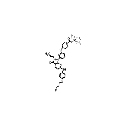 C=CCn1c(=O)c2cnc(Nc3ccc(OCCCF)cc3)nc2n1-c1cccc(OC2CCN(C(=O)OC(C)(C)C)CC2)n1